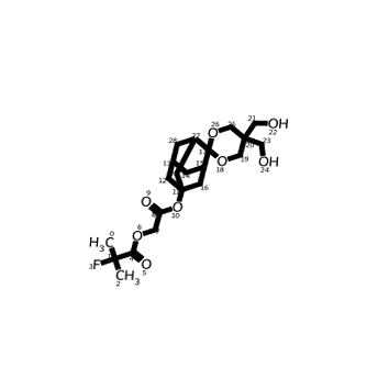 CC(C)(F)C(=O)OCC(=O)OC12CC3CC(C1)C1(OCC(CO)(CO)CO1)C(C3)C2